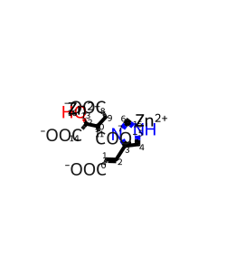 O=C([O-])C=Cc1c[nH]cn1.O=C([O-])CC(C(=O)[O-])C(O)C(=O)[O-].[Zn+2].[Zn+2]